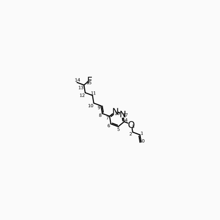 C=CCOc1ccc(C=CCCCC(C)F)nn1